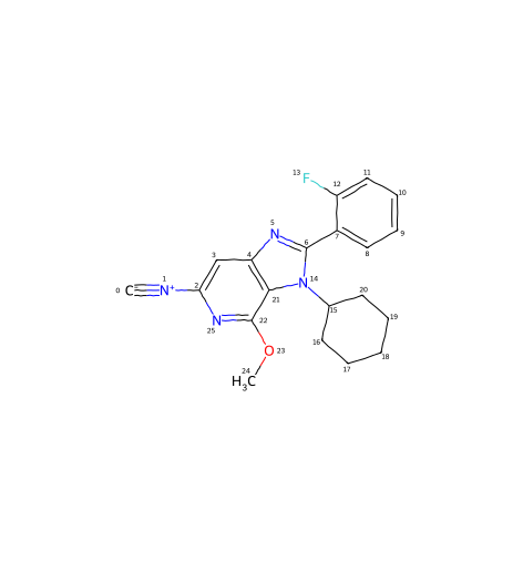 [C-]#[N+]c1cc2nc(-c3ccccc3F)n(C3CCCCC3)c2c(OC)n1